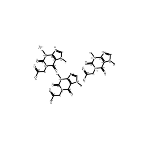 Cn1cnc2c1c(=O)n(CC(=O)[O-])c(=O)n2C.Cn1cnc2c1c(=O)n(CC(=O)[O-])c(=O)n2C.Cn1cnc2c1c(=O)n(CC(=O)[O-])c(=O)n2C.[Al+3]